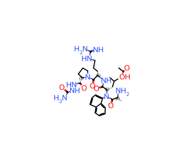 CC(=O)O.CC(C)C[C@@H](C(=O)N[C@@H](CCCNC(=N)N)C(=O)N1CCC[C@H]1C(=O)NNC(N)=O)N(C(=O)[C@@H](C)N)c1cccc2ccccc12